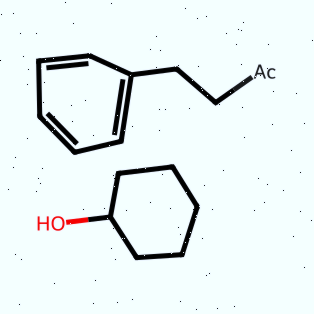 CC(=O)CCc1ccccc1.OC1CCCCC1